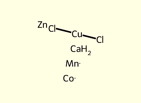 [CaH2].[Cl][Cu][Cl].[Co].[Mn].[Zn]